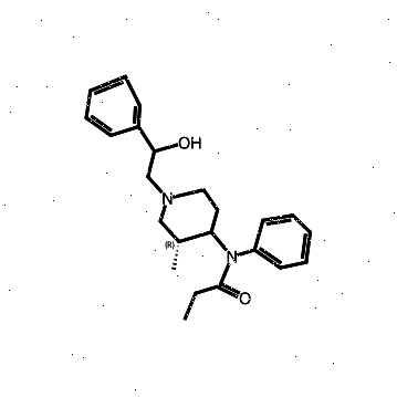 CCC(=O)N(c1ccccc1)C1CCN(CC(O)c2ccccc2)C[C@H]1C